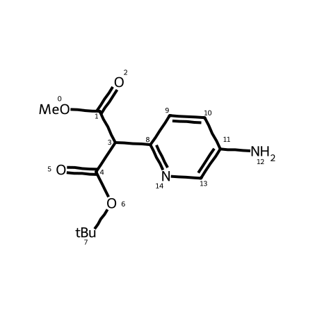 COC(=O)C(C(=O)OC(C)(C)C)c1ccc(N)cn1